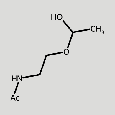 CC(=O)NCCOC(C)O